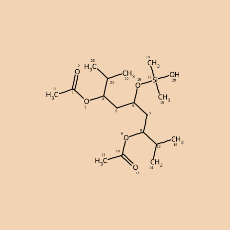 CC(=O)OC(CC(CC(OC(C)=O)C(C)C)O[Si](C)(C)O)C(C)C